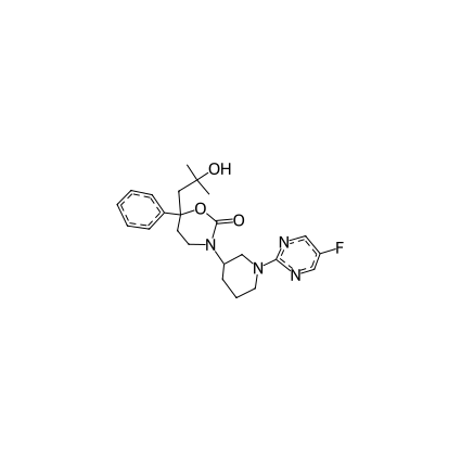 CC(C)(O)CC1(c2ccccc2)CCN(C2CCCN(c3ncc(F)cn3)C2)C(=O)O1